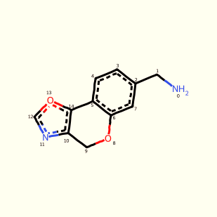 NCc1ccc2c(c1)OCc1ncoc1-2